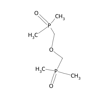 CP(C)(=O)COCP(C)(C)=O